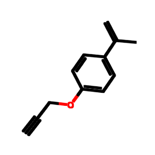 C#CCOc1ccc(C(=C)C)cc1